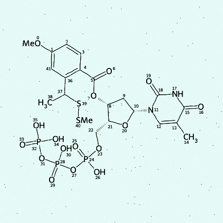 COc1ccc(C(=O)O[C@@H]2C[C@H](n3cc(C)c(=O)[nH]c3=O)O[C@@H]2COP(=O)(O)OP(=O)(O)OP(=O)(O)O)c(C(C)SSC)c1